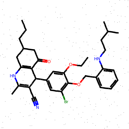 CCCC1CC(=O)C2=C(C1)NC(C)=C(C#N)C2c1cc(Br)c(OCc2ccccc2NCCC(C)C)c(OCC)c1